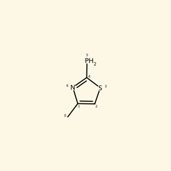 Cc1csc(P)n1